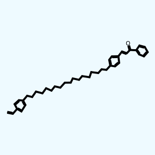 C=Cc1ccc(CCCCCCCCCCCCCCCCCCc2ccc(/C=C/C(=O)c3ccccc3)cc2)cc1